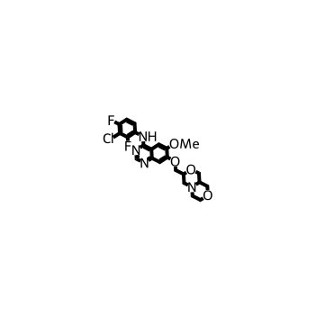 COc1cc2c(Nc3ccc(F)c(Cl)c3F)ncnc2cc1OCC1CN2CCOCC2CO1